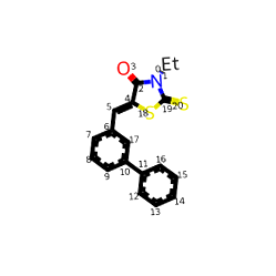 CCN1C(=O)C(=Cc2cccc(-c3ccccc3)c2)SC1=S